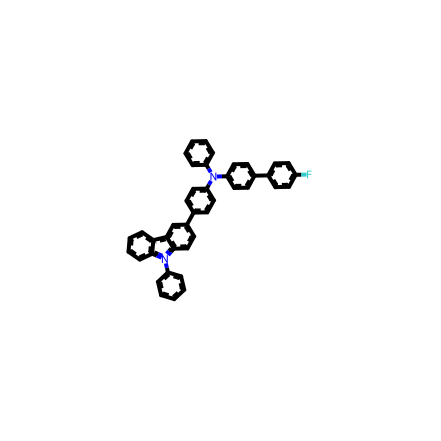 Fc1ccc(-c2ccc(N(c3ccccc3)c3ccc(-c4ccc5c(c4)c4ccccc4n5-c4ccccc4)cc3)cc2)cc1